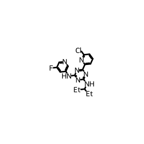 CCC(CC)Nc1nc(Nc2cncc(F)c2)nc(-c2cccc(Cl)n2)n1